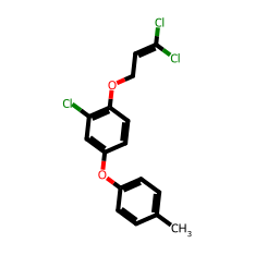 Cc1ccc(Oc2ccc(OCC=C(Cl)Cl)c(Cl)c2)cc1